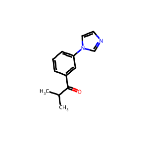 CC(C)C(=O)c1cccc(-n2ccnc2)c1